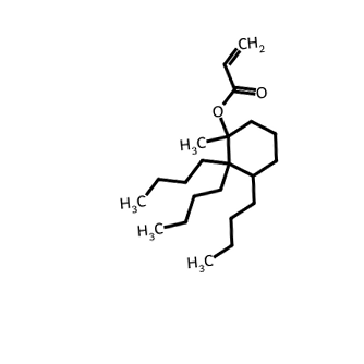 C=CC(=O)OC1(C)CCCC(CCCC)C1(CCCC)CCCC